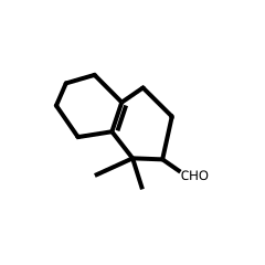 CC1(C)C2=C(CCCC2)CCC1C=O